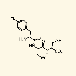 CC(C)C[C@H](NC(=O)[C@@H](N)Cc1ccc(Cl)cc1)C(=O)N[C@@H](CS)C(=O)O